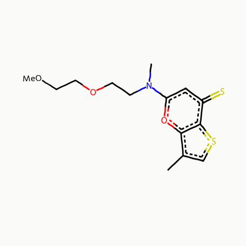 COCCOCCN(C)c1cc(=S)c2scc(C)c2o1